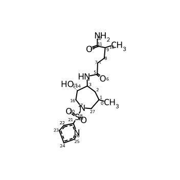 CC1CC(NC(=O)[CH]CC(C)C(N)=O)[C@@H](O)CN(S(=O)(=O)c2ccccn2)C1